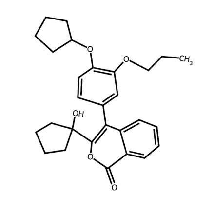 CCCOc1cc(-c2c(C3(O)CCCC3)oc(=O)c3ccccc23)ccc1OC1CCCC1